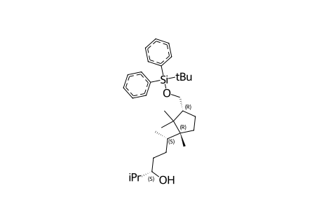 CC(C)[C@@H](O)CC[C@H](C)[C@@]1(C)CC[C@@H](CO[Si](c2ccccc2)(c2ccccc2)C(C)(C)C)C1(C)C